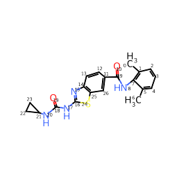 Cc1cccc(C)c1NC(=O)c1ccc2nc(NC(=O)NC3CC3)sc2c1